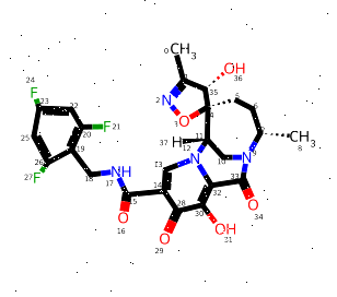 CC1=NO[C@@]2(CC[C@H](C)N3C[C@@H]2n2cc(C(=O)NCc4c(F)cc(F)cc4F)c(=O)c(O)c2C3=O)[C@H]1O